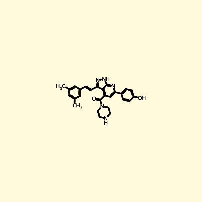 Cc1cc(C)cc(/C=C/c2n[nH]c3nc(-c4ccc(O)cc4)cc(C(=O)N4CCNCC4)c23)c1